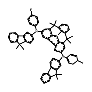 CC1(C)c2ccccc2-c2cc(N(c3ccc(F)cc3)c3cc4c5c(c3)c3cc(N(C6=CCC(F)C=C6)c6ccc7c(c6)C(C)(C)c6ccccc6-7)cc6c3n5-c3c(cccc3C4(C)C)C6(C)C)ccc21